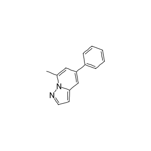 Cc1cc(-c2ccccc2)cc2ccnn12